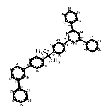 CC(C)(c1ccc(-c2cccc(-c3ccccc3)c2)cc1)c1ccc(-c2nc(-c3ccccc3)cc(-c3ccccc3)n2)cc1